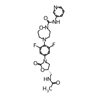 CC(=O)NC[C@H]1CN(c2cc(F)c(N3CCON(C(=O)Nc4cccnc4)CC3)c(F)c2)C(=O)O1